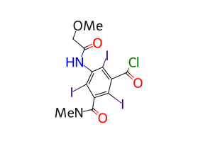 CNC(=O)c1c(I)c(NC(=O)COC)c(I)c(C(=O)Cl)c1I